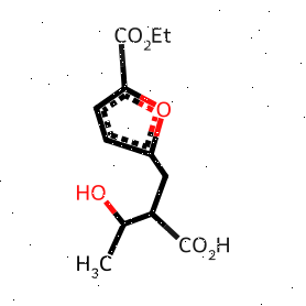 CCOC(=O)c1ccc(CC(C(=O)O)C(C)O)o1